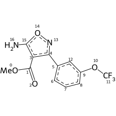 COC(=O)c1c(-c2cccc(OC(F)(F)F)c2)noc1N